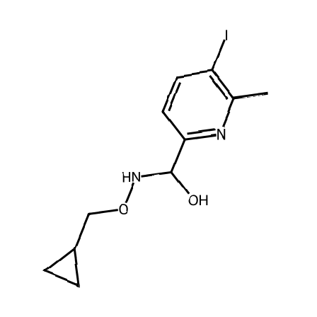 Cc1nc(C(O)NOCC2CC2)ccc1I